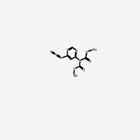 CC(C)(C)OC(=O)N(C(=O)OC(C)(C)C)c1cc(N=[N+]=[N-])ncn1